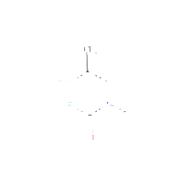 CN(CC(C(F)(F)F)C(F)(F)F)C(=O)F